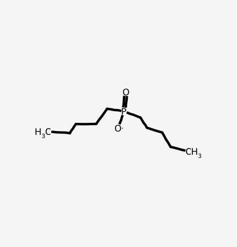 CCCCCP([O])(=O)CCCCC